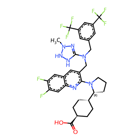 CN1N=C(N(Cc2cc(C(F)(F)F)cc(C(F)(F)F)c2)Cc2cc3cc(F)c(F)cc3nc2N2CCC[C@@H]2[C@H]2CC[C@H](C(=O)O)CC2)NN1